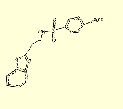 CCCCCc1ccc(S(=O)(=O)NCCc2nc3ccccc3o2)cc1